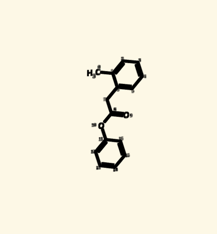 Cc1ccccc1CC(=O)Oc1ccccc1